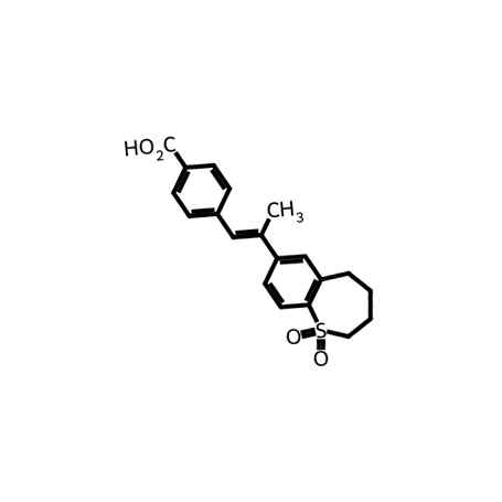 CC(=Cc1ccc(C(=O)O)cc1)c1ccc2c(c1)CCCCS2(=O)=O